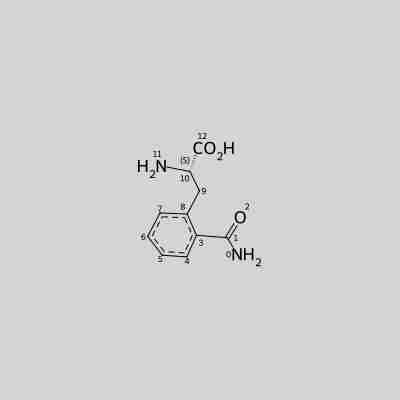 NC(=O)c1ccccc1C[C@H](N)C(=O)O